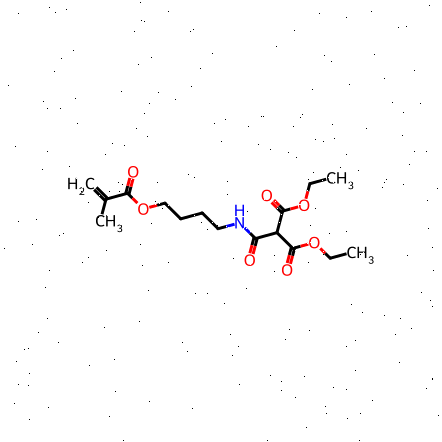 C=C(C)C(=O)OCCCCNC(=O)C(C(=O)OCC)C(=O)OCC